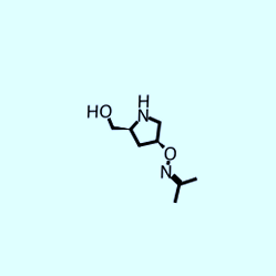 CC(C)=NO[C@@H]1CN[C@H](CO)C1